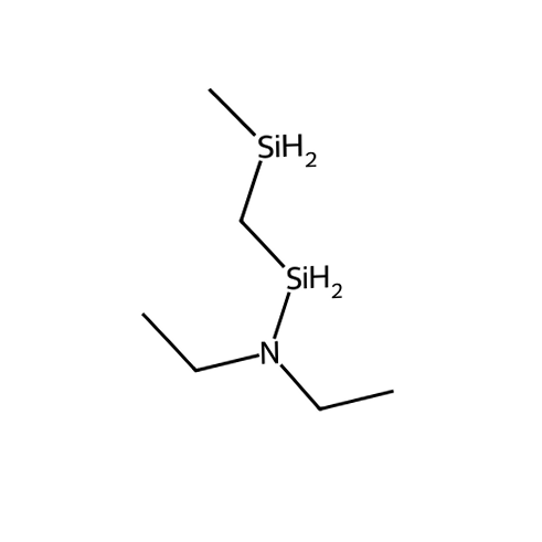 CCN(CC)[SiH2]C[SiH2]C